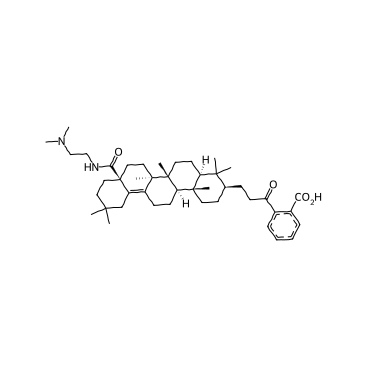 CN(C)CCNC(=O)[C@]12CCC(C)(C)CC1=C1CC[C@@H]3[C@@]4(C)CC[C@H](CCC(=O)c5ccccc5C(=O)O)C(C)(C)[C@@H]4CC[C@@]3(C)[C@]1(C)CC2